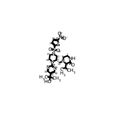 CC(C)C1C(=O)NCCN1C[C@H]1CN(S(=O)(=O)c2ccc([N+](=O)[O-])s2)CCN1c1ncc(C(C)(C)O)cn1